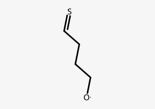 [O]CCCC=S